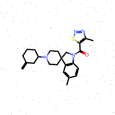 C=C1CCCC(N2CCC3(CC2)CN(C(=O)c2snnc2C)c2ccc(C)cc23)C1